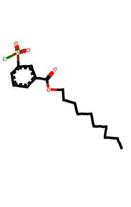 CCCCCCCCCCOC(=O)c1cccc(S(=O)(=O)Cl)c1